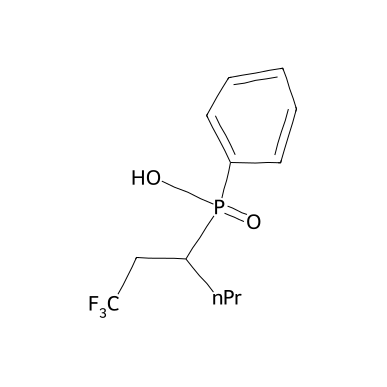 CCCC(CC(F)(F)F)P(=O)(O)c1ccccc1